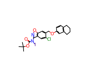 CC(C)(C)OC(=O)N(I)c1noc2cc(COc3ccc4c(c3)CCCC4)c(Cl)cc12